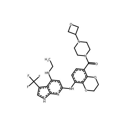 CCNc1cc(Nc2ccc(C(=O)N3CCN(C4COC4)CC3)c3c2OCCO3)nc2[nH]cc(C(F)(F)F)c12